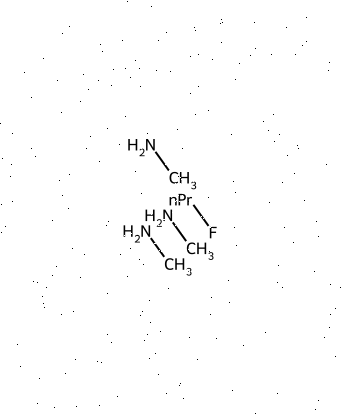 CN.CN.CN.[CH2]CCF